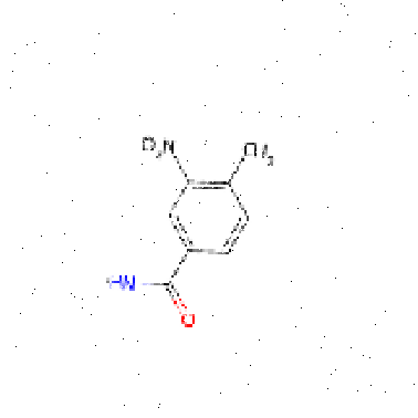 Cc1ccc(C([NH])=O)cc1[N+](=O)[O-]